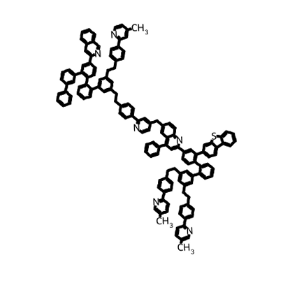 Cc1ccc(-c2ccc(CCc3cc(CCc4ccc(-c5ccc(C)cn5)cc4)cc(-c4ccccc4-c4ccc(-c5cc(-c6ccccc6)c6cc(Cc7ccnc(-c8ccc(CCc9cc(CCc%10ccc(-c%11cc(C)ccn%11)cc%10)cc(-c%10ccccc%10-c%10ccc(-c%11cc%12ccccc%12cn%11)cc%10-c%10cccc(-c%11ccccc%11)c%10)c9)cc8)c7)ccc6n5)cc4-c4ccc5c(c4)sc4ccccc45)c3)cc2)nc1